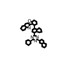 c1ccc(-c2nc(-c3ccc4ccccc4c3)nc(-c3ccc(-c4cccc5oc6cc7ccccc7nc6c45)c4ccccc34)n2)cc1